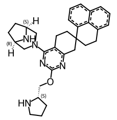 c1cc2c3c(cccc3c1)C1(CCc3c(nc(OC[C@@H]4CCCN4)nc3N3C[C@H]4CC[C@@H](C3)N4)C1)CC2